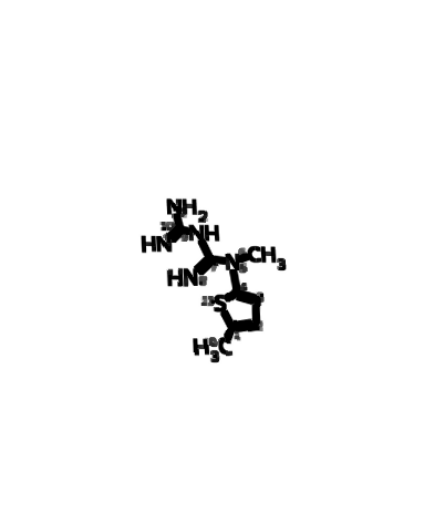 Cc1ccc(N(C)C(=N)NC(=N)N)s1